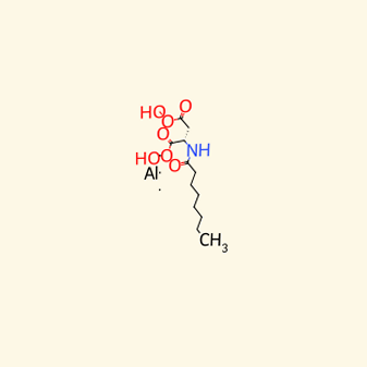 CCCCCCCC(=O)N[C@@H](CC(=O)OO)C(=O)OO.[Al]